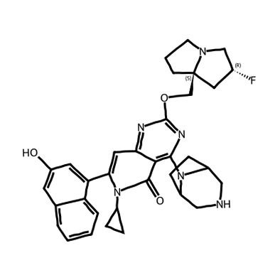 O=c1c2c(N3C4CCC3CNC4)nc(OC[C@@]34CCCN3C[C@H](F)C4)nc2cc(-c2cc(O)cc3ccccc23)n1C1CC1